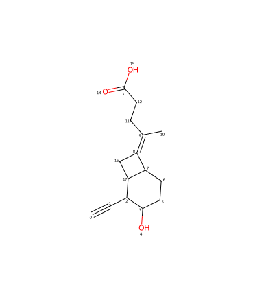 C#CC1C(O)CCC2/C(=C(\C)CCC(=O)O)CC21